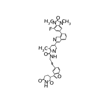 Cc1cc(-c2cc3cccc(-c4cc(F)c5c(c4)n(C)c(=O)n5C)c3cn2)cnc1C(=O)NCC#Cc1ccc2occ(C3CCC(=O)NC3=O)c2c1